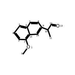 COc1cccc2ccc(C(C)C=O)cc12